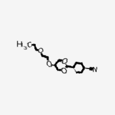 CCCOCCO[C@H]1CO[C@H]([C@H]2CC[C@H](C#N)CC2)OC1